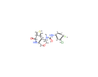 CN(C(=O)Nc1ccc(F)c(Cl)c1)[C@H]1COCc2[nH]c(=O)c3cscc3c21